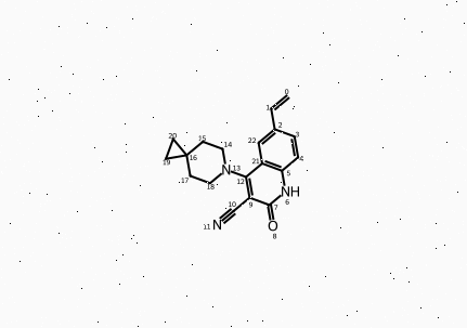 C=Cc1ccc2[nH]c(=O)c(C#N)c(N3CCC4(CC3)CC4)c2c1